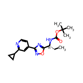 CC[C@@H](NC(=O)OC(C)(C)C)c1nc(-c2ccnc(C3CC3)c2)no1